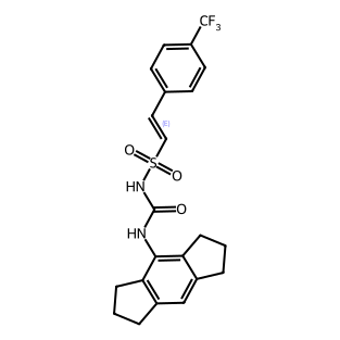 O=C(Nc1c2c(cc3c1CCC3)CCC2)NS(=O)(=O)/C=C/c1ccc(C(F)(F)F)cc1